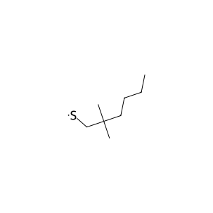 CCCCC(C)(C)C[S]